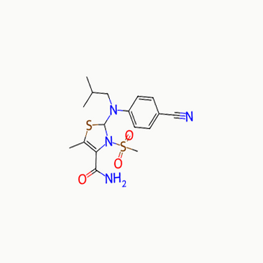 CC1=C(C(N)=O)N(S(C)(=O)=O)C(N(CC(C)C)c2ccc(C#N)cc2)S1